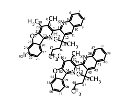 Cc1c(-c2nc3ccccc3cc2C(C)(C)CCC(F)(F)F)nc2c(oc3ccccc32)c1C.Cc1c(-c2nc3ccccc3cc2C(C)(C)CCC(F)(F)F)nc2c(oc3ccccc32)c1C.[Ir+3]